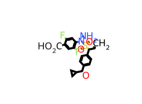 C=CC(c1ccc(C(=O)C2CC2)cc1)S(=O)(=O)N(N)c1cc(F)c(C(=O)O)cc1F